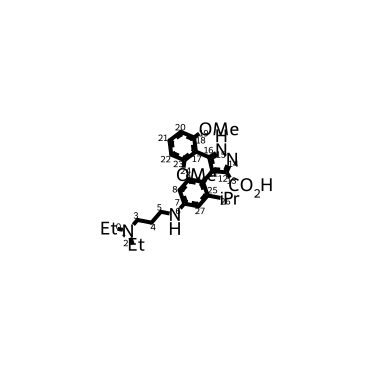 CCN(CC)CCCNc1ccc(-c2c(C(=O)O)n[nH]c2-c2c(OC)cccc2OC)c(C(C)C)c1